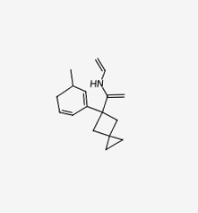 C=CNC(=C)C1(C2=CC(C)CC=C2)CC2(CC2)C1